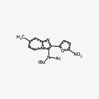 CC(=O)N(c1c(-c2ccc([N+](=O)[O-])o2)nc2cc(C)ccn12)C(C)(C)C